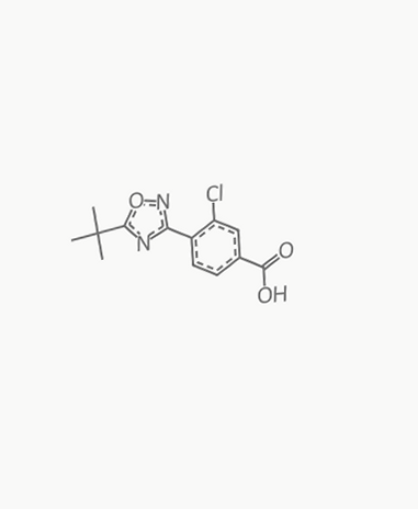 CC(C)(C)c1nc(-c2ccc(C(=O)O)cc2Cl)no1